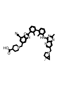 Cc1nc(Nc2cccc(-c3cccc(-c4nc5cc(CN6CCC(C(=O)O)CC6)cc(C#N)c5o4)c3C)c2C)c2ncc(CN3CC[C@]4(C)CC34)cc2n1